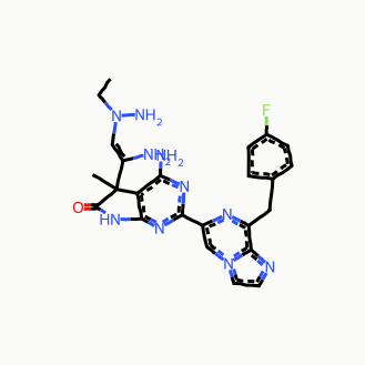 CCN(N)/C=C(\N)C1(C)C(=O)Nc2nc(-c3cn4ccnc4c(Cc4ccc(F)cc4)n3)nc(N)c21